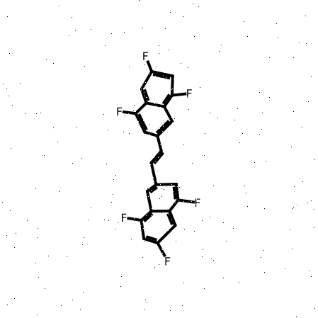 Fc1cc(F)c2cc(/C=C/c3cc(F)c4cc(F)cc(F)c4c3)cc(F)c2c1